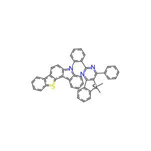 C[Si]1(C)c2ccccc2-c2nc(-c3ccccc3-n3c4ccccc4c4c5sc6ccccc6c5ccc43)nc(-c3ccccc3)c21